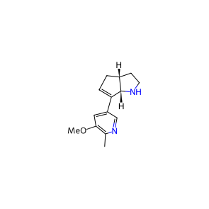 COc1cc(C2=CC[C@@H]3CCN[C@H]23)cnc1C